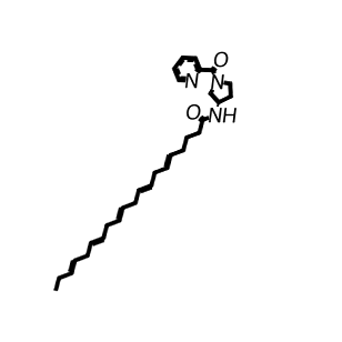 CCC=CCC=CCC=CCC=CCC=CCCCC(=O)N[C@H]1CCN(C(=O)c2ccccn2)C1